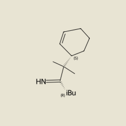 CC[C@@H](C)C(=N)C(C)(C)[C@@H]1C=CCCC1